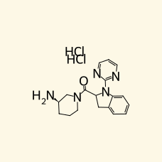 Cl.Cl.N[C@@H]1CCCN(C(=O)C2Cc3ccccc3N2c2ncccn2)C1